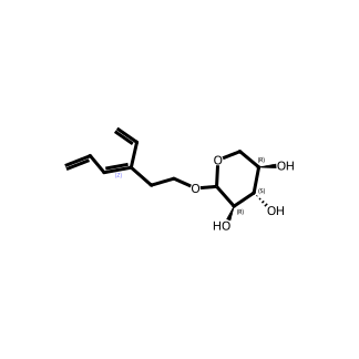 C=C/C=C(\C=C)CCOC1OC[C@@H](O)[C@H](O)[C@H]1O